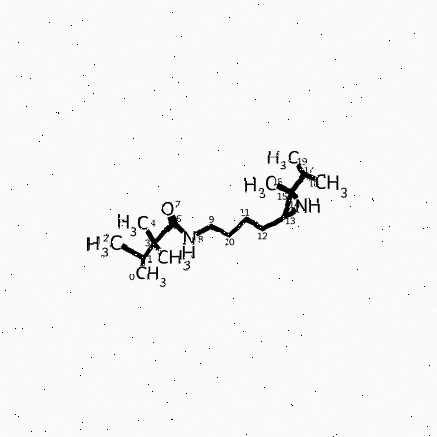 CC(C)C(C)(C)C(=O)NCCCCC1NC1(C)C(C)C